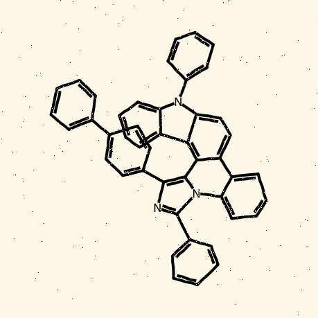 c1ccc(-c2ccc(-c3nc(-c4ccccc4)n4c5ccccc5c5ccc6c(c7ccccc7n6-c6ccccc6)c5c34)cc2)cc1